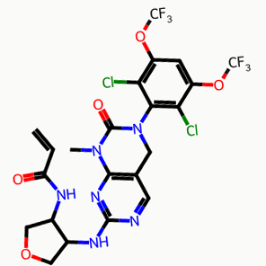 C=CC(=O)NC1COCC1Nc1ncc2c(n1)N(C)C(=O)N(c1c(Cl)c(OC(F)(F)F)cc(OC(F)(F)F)c1Cl)C2